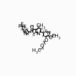 CCOCCOc1cc(-c2cc(C)c3c(n2)CN(c2cnn(CC(F)(F)F)c2)C3=O)cnc1OC